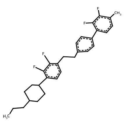 CCCC1CCC(c2ccc(CCc3ccc(-c4ccc(C)c(F)c4F)cc3)c(F)c2F)CC1